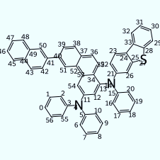 c1ccc(N(c2ccccc2)c2cc(N(c3ccccc3)c3ccc4c(c3)sc3ccccc34)c3ccc4ccc(-c5ccc6ccccc6c5)cc4c3c2)cc1